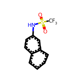 O=S(=O)(Nc1ccc2ccccc2c1)C(F)(F)F